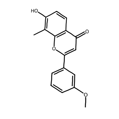 COc1cccc(-c2cc(=O)c3ccc(O)c(C)c3o2)c1